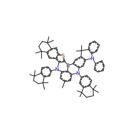 Cc1cc2c3c(c1)N(c1ccc4c(c1)C(C)(C)CCC4(C)C)c1c(sc4cc5c(cc14)C(C)(C)CCC5(C)C)B3c1cc3c(cc1N2c1ccc2c(c1)C(C)(C)CCC2(C)C)N(c1ccccc1)c1ccccc1C3(C)C